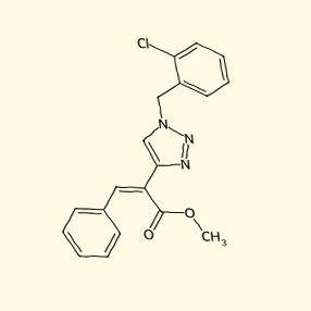 COC(=O)C(=Cc1ccccc1)c1cn(Cc2ccccc2Cl)nn1